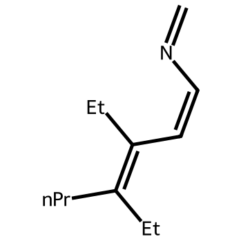 C=N/C=C\C(CC)=C(/CC)CCC